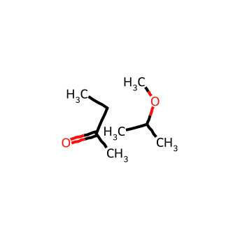 CCC(C)=O.COC(C)C